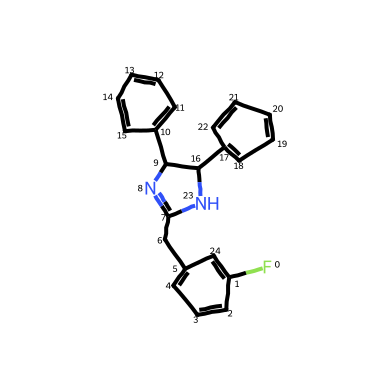 Fc1cccc(CC2=NC(c3ccccc3)C(c3ccccc3)N2)c1